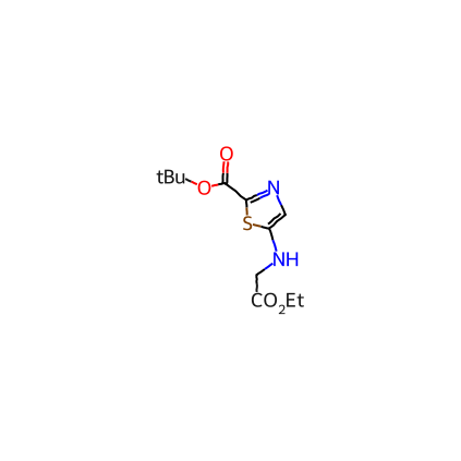 CCOC(=O)CNc1cnc(C(=O)OC(C)(C)C)s1